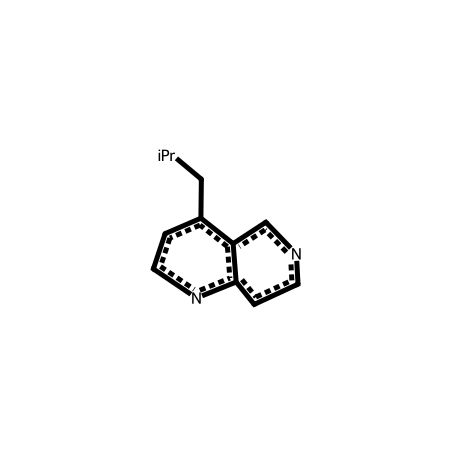 CC(C)Cc1ccnc2ccncc12